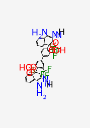 [H]/N=N/C1=C(N)c2ccccc2C(c2ccc(-c3ccc(C4(S(=O)(=O)O)CC(/N=N/[H])=C(N)c5ccccc54)c(C(F)(F)F)c3)cc2C(F)(F)F)(S(=O)(=O)O)C1